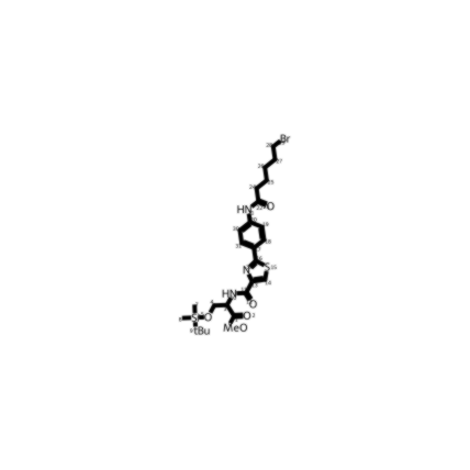 COC(=O)C(CO[Si](C)(C)C(C)(C)C)NC(=O)c1csc(-c2ccc(NC(=O)CCCCCBr)cc2)n1